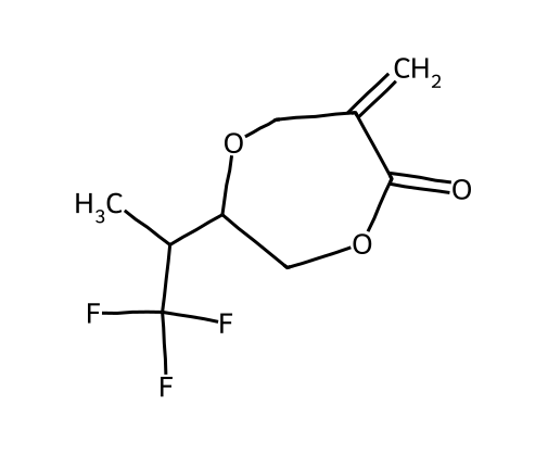 C=C1COC(C(C)C(F)(F)F)COC1=O